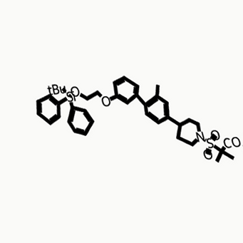 Cc1cc(C2CCN(S(=O)(=O)C(C)(C)C(=O)O)CC2)ccc1-c1cccc(OCCO[Si](c2ccccc2)(c2ccccc2)C(C)(C)C)c1